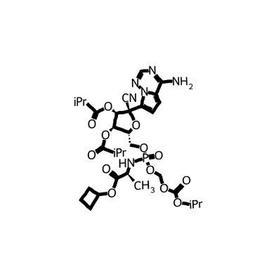 CC(C)OC(=O)OCOP(=O)(N[C@@H](C)C(=O)OC1CCC1)OC[C@H]1O[C@@](C#N)(c2ccc3c(N)ncnn23)[C@H](OC(=O)C(C)C)[C@@H]1OC(=O)C(C)C